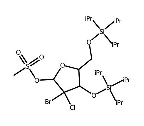 CC(C)[Si](OCC1OC(OS(C)(=O)=O)C(Cl)(Br)C1O[Si](C(C)C)(C(C)C)C(C)C)(C(C)C)C(C)C